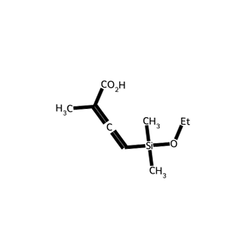 CCO[Si](C)(C)C=C=C(C)C(=O)O